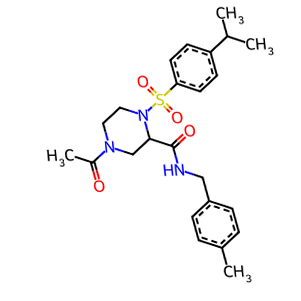 CC(=O)N1CCN(S(=O)(=O)c2ccc(C(C)C)cc2)C(C(=O)NCc2ccc(C)cc2)C1